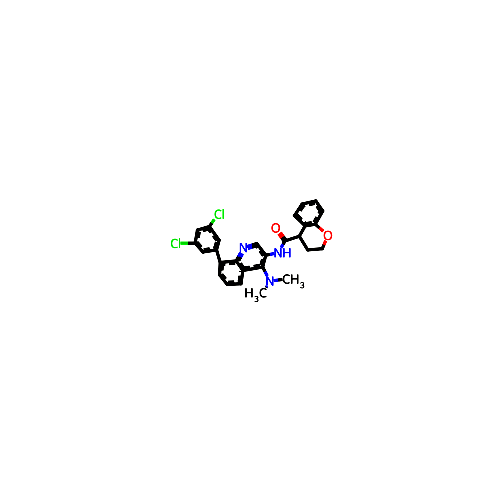 CN(C)c1c(NC(=O)C2CCOc3ccccc32)cnc2c(-c3cc(Cl)cc(Cl)c3)cccc12